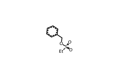 CCS(=O)(=O)OCc1ccccc1